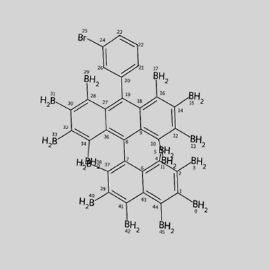 Bc1c(B)c(B)c2c(-c3c4c(B)c(B)c(B)c(B)c4c(-c4cccc(Br)c4)c4c(B)c(B)c(B)c(B)c34)c(B)c(B)c(B)c2c1B